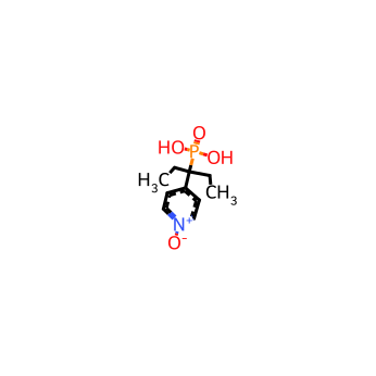 CCC(CC)(c1cc[n+]([O-])cc1)P(=O)(O)O